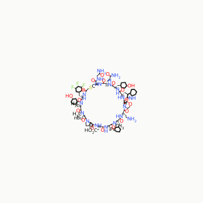 CCCC[C@H]1C(=O)N2CCC[C@@H]2C(=O)N[C@@H](CC(=O)O)C(=O)N[C@@H](C(C)C)C(=O)N(C)[C@@H](Cc2ccccc2)C(=O)N[C@@H](CCN)C(=O)N2CCOC[C@@H]2C(=O)N[C@@H](Cc2c[nH]c3ccccc23)C(=O)N[C@@H](Cc2ccc(O)cc2)C(=O)N[C@@H](CCC(N)=O)C(=O)N[C@H](C(=O)NCC(N)=O)CSCC(=O)N[C@@H](Cc2cc(F)c(F)c(F)c2)C(=O)N(C)[C@@H](Cc2ccc(O)cc2)C(=O)N1C